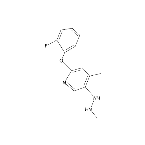 CNNc1cnc(Oc2ccccc2F)cc1C